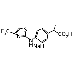 CC(C(=O)O)c1ccc(Nc2nc(C(F)(F)F)cs2)cc1.[NaH]